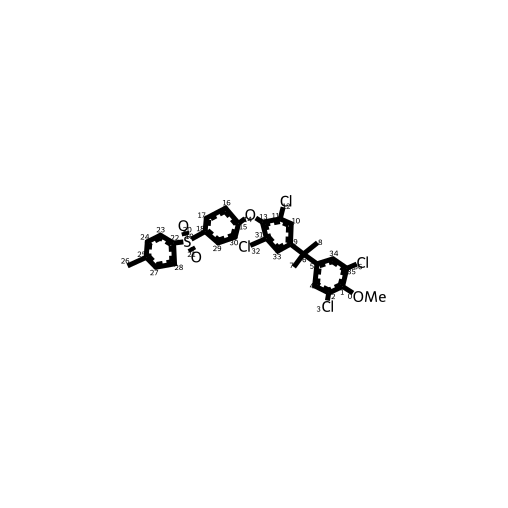 COc1c(Cl)cc(C(C)(C)c2cc(Cl)c(Oc3ccc(S(=O)(=O)c4ccc(C)cc4)cc3)c(Cl)c2)cc1Cl